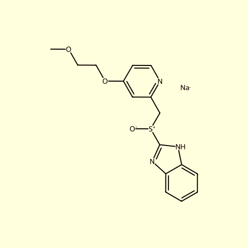 COCCOc1ccnc(C[S+]([O-])c2nc3ccccc3[nH]2)c1.[Na]